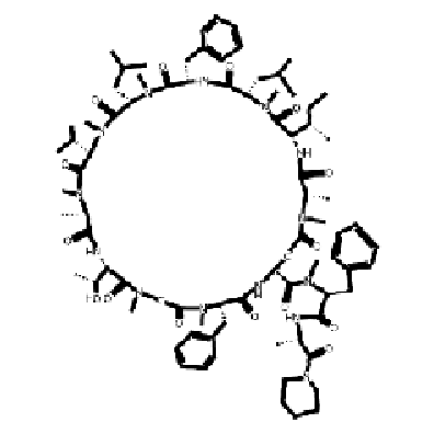 CC[C@H](C)[C@@H]1NC(=O)[C@H](C)N(C)C(=O)C[C@@H](C(=O)N(C)[C@@H](Cc2ccccc2)C(=O)N[C@@H](C)C(=O)N2CCCCC2)NC(=O)[C@H](Cc2ccccc2)N(C)C(=O)CN(C)C(=O)[C@H]([C@@H](C)O)NC(=O)[C@H](C)N(C)C(=O)[C@H](C(C)C)N(C)C(=O)[C@H](CC(C)C)N(C)C(=O)[C@H](Cc2ccccc2)NC(=O)[C@H](CC(C)C)N(C)C1=O